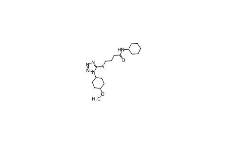 COC1CCC(n2nnnc2SCCCC(=O)NC2CCCCC2)CC1